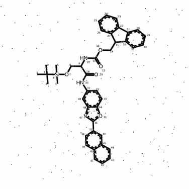 CC(C)(C)[Si](C)(C)OCC(NC(=O)OCC1c2ccccc2-c2ccccc21)C(=O)Nc1ccc2oc(-c3ccc4ccccc4c3)nc2c1